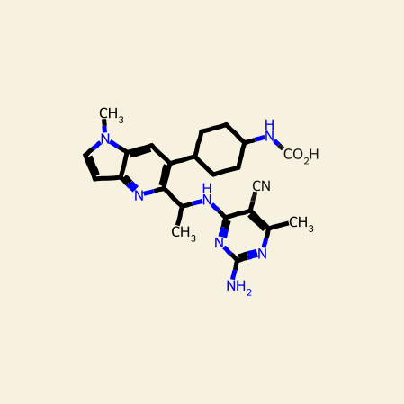 Cc1nc(N)nc(NC(C)c2nc3ccn(C)c3cc2C2CCC(NC(=O)O)CC2)c1C#N